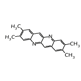 Cc1cc2cc3nc4cc(C)c(C)cc4cc3nc2cc1C